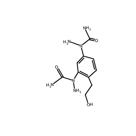 NC(=O)N(N)c1ccc(CCO)c(N(N)C(N)=O)c1